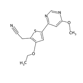 CCOc1cc(-c2cc(OC)ncn2)sc1CC#N